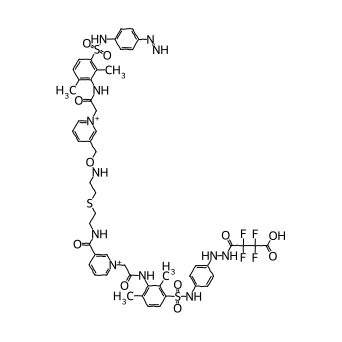 Cc1ccc(S(=O)(=O)Nc2ccc(N=N)cc2)c(C)c1NC(=O)C[n+]1cccc(CONCCSCCNC(=O)c2ccc[n+](CC(=O)Nc3c(C)ccc(S(=O)(=O)Nc4ccc(NNC(=O)C(F)(F)C(F)(F)C(=O)O)cc4)c3C)c2)c1